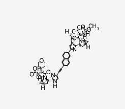 COC(=O)N[C@H](C(=O)N1[C@@H]2C[C@@H]2C[C@H]1c1nc(-c2ccc3cc(C#Cc4c[nH]c([C@@H]5C[C@H]6C[C@H]6N5C(=O)[C@H](C5CCOCC5)N(C)C(=O)O)n4)ccc3c2)c[nH]1)C(C)C